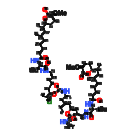 C/C=C(/CC(C)NC(=O)OC(C/C=C\NC(=O)C(NC(=O)/C=C/C=C/C(C)=C/C(C)C1CC=C(OC)C(=O)O1)C(C)(C)C)C/C=C(\C)Cl)CC(C/C=C\NC(=O)C(NC(=O)/C=C/C=C/C(C)=C/C(C)C1CC=C(OC)C(=O)O1)C(C)(C)C)OC(=O)NC(C)C